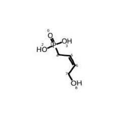 O=P(O)(O)C/C=C\CO